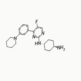 N[C@H]1CC[C@H](Nc2ncc(F)c(-c3cccc(N4CCCCC4)c3)n2)CC1